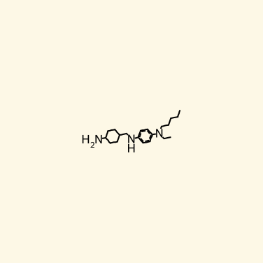 CCCCCN(CC)c1ccc(NCC2CCC(N)CC2)cc1